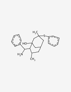 CC1CC2CC(C)(Sc3ccccc3)CC(O)(C2)C1C(N)c1ccccc1